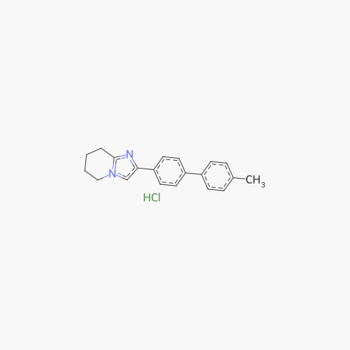 Cc1ccc(-c2ccc(-c3cn4c(n3)CCCC4)cc2)cc1.Cl